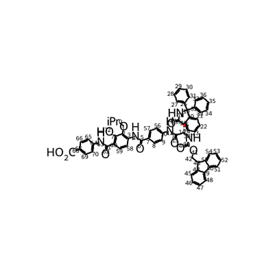 CC(C)Oc1c(NC(=O)c2ccc(NC(=O)[C@H](CC(=O)NC(c3ccccc3)(c3ccccc3)c3ccccc3)NC(=O)OCC3c4ccccc4-c4ccccc43)cc2)ccc(C(=O)Nc2ccc(C(=O)O)cc2)c1O